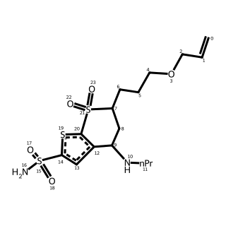 C=CCOCCCC1CC(NCCC)c2cc(S(N)(=O)=O)sc2S1(=O)=O